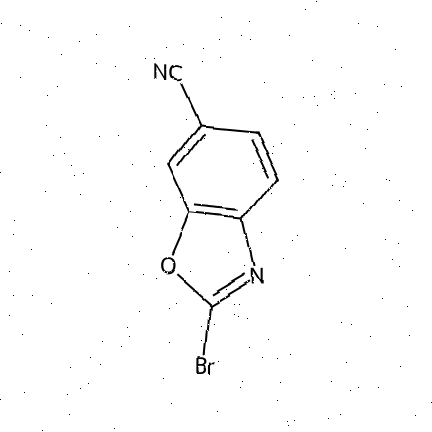 N#Cc1ccc2nc(Br)oc2c1